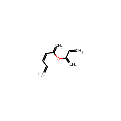 C=C/C=C\C(=C)OC(=C)C=C